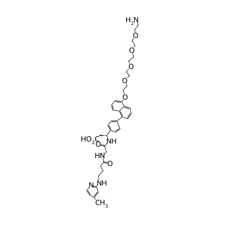 Cc1ccnc(NCCCC(=O)NCC(=O)N[C@@H](CC(=O)O)c2ccc(-c3cccc4c(OCCOCCOCCOCCOCCN)cccc34)cc2)c1